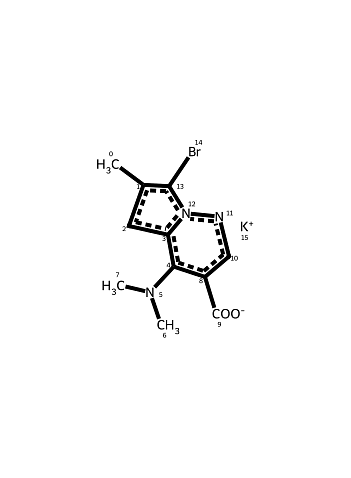 Cc1cc2c(N(C)C)c(C(=O)[O-])cnn2c1Br.[K+]